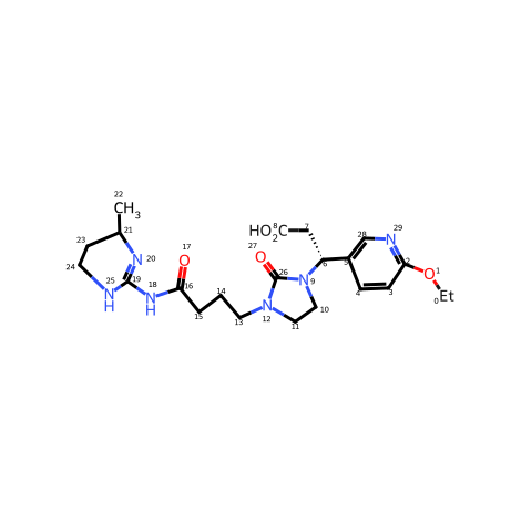 CCOc1ccc([C@@H](CC(=O)O)N2CCN(CCCC(=O)NC3=NC(C)CCN3)C2=O)cn1